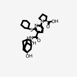 O=C(N[C@H]1C2CC3CC1C[C@](O)(C3)C2)c1ccc(N2CCC[C@H]2C(=O)O)nc1SC1CCCCC1